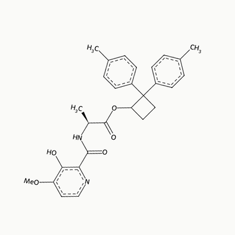 COc1ccnc(C(=O)N[C@@H](C)C(=O)OC2CCC2(c2ccc(C)cc2)c2ccc(C)cc2)c1O